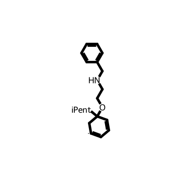 CCCC(C)C1(OCCNCc2ccccc2)C=CC=[C]C1